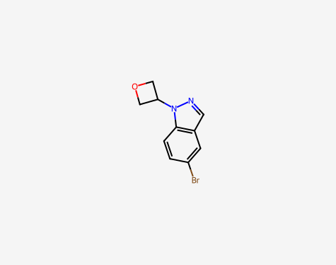 Brc1ccc2c(cnn2C2COC2)c1